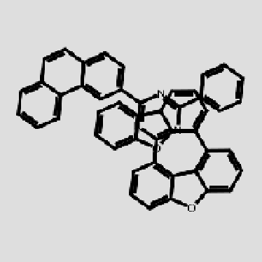 C1=CC2c3ccccc3OC2C(c2cccc3oc4cccc(-c5nc(-c6ccccc6)nc(-c6ccc7ccc8ccccc8c7c6)n5)c4c23)=C1